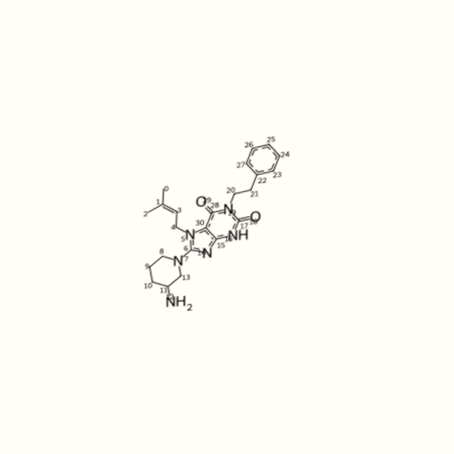 CC(C)=CCn1c(N2CCCC(N)C2)nc2[nH]c(=O)n(CCc3ccccc3)c(=O)c21